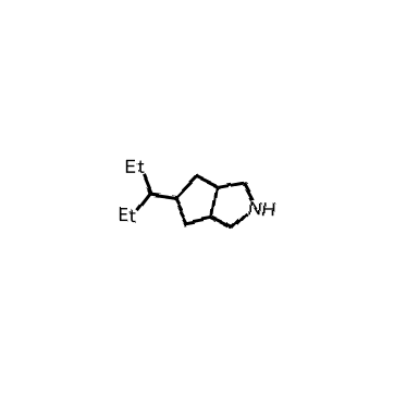 CCC(CC)C1CC2CNCC2C1